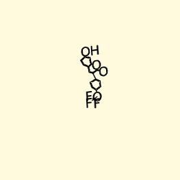 O=c1oc2cc(O)ccc2cc1-c1ccc(OC(F)(F)F)cc1